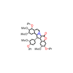 COc1cc(-c2c3c4cc(OC)c(OC(C)C)cc4oc(=O)c3n3ccc4c(OC(C)C)c(OC)c(OC)cc4c23)ccc1OC(C)C